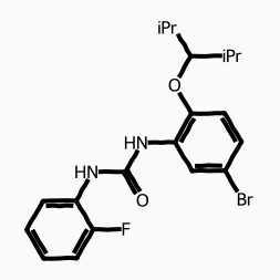 CC(C)C(Oc1ccc(Br)cc1NC(=O)Nc1ccccc1F)C(C)C